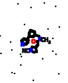 CN(Cc1cccc(-c2ccncc2)c1)C(=O)C=C1CCN(C#N)C1